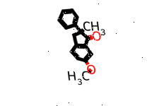 COc1ccc2c(c1)C(=O)C(C)(c1ccccc1)C2